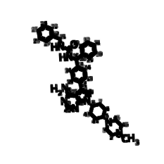 CN1CCN([C@H]2CC[C@@H](n3nc(-c4ccc(C(NC(=O)NCc5ccccc5)c5ccccc5)cc4)c4c(N)ncnc43)CC2)CC1